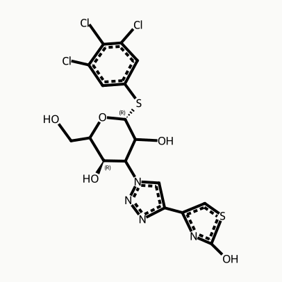 OCC1O[C@H](Sc2cc(Cl)c(Cl)c(Cl)c2)C(O)C(n2cc(-c3csc(O)n3)nn2)[C@H]1O